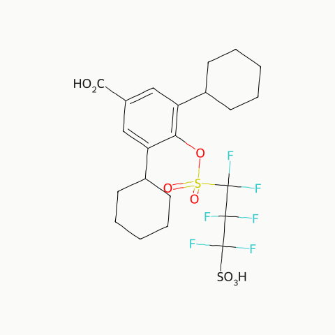 O=C(O)c1cc(C2CCCCC2)c(OS(=O)(=O)C(F)(F)C(F)(F)C(F)(F)S(=O)(=O)O)c(C2CCCCC2)c1